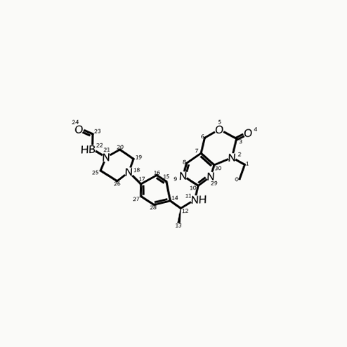 CCN1C(=O)OCc2cnc(N[C@@H](C)c3ccc(N4CCN(BC=O)CC4)cc3)nc21